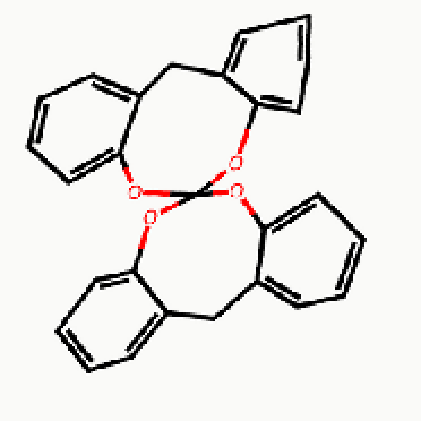 c1ccc2c(c1)Cc1ccccc1OC1(O2)Oc2ccccc2Cc2ccccc2O1